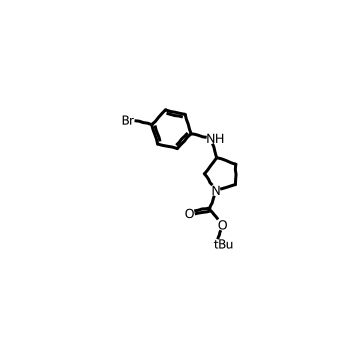 CC(C)(C)OC(=O)N1CCC(Nc2ccc(Br)cc2)C1